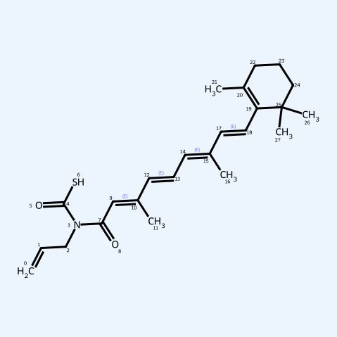 C=CCN(C(=O)S)C(=O)/C=C(C)/C=C/C=C(C)/C=C/C1=C(C)CCCC1(C)C